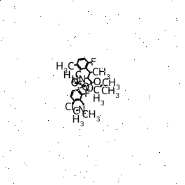 Cc1ccc(F)c(C(C)[C@H](NS(=O)(=O)c2ccc(Cl)c(CN(C)C)c2F)C(=O)OC(C)(C)C)c1C